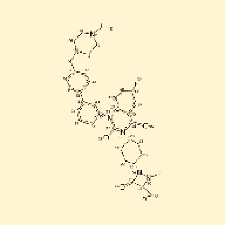 CCN1CCN(Cc2ccc(-c3cccc(-n4c(=O)n([C@H]5CC[C@@H](N6C(=O)C7(CC7)N6C)CC5)c(=O)c5cc(F)cnc54)c3)cc2)CC1